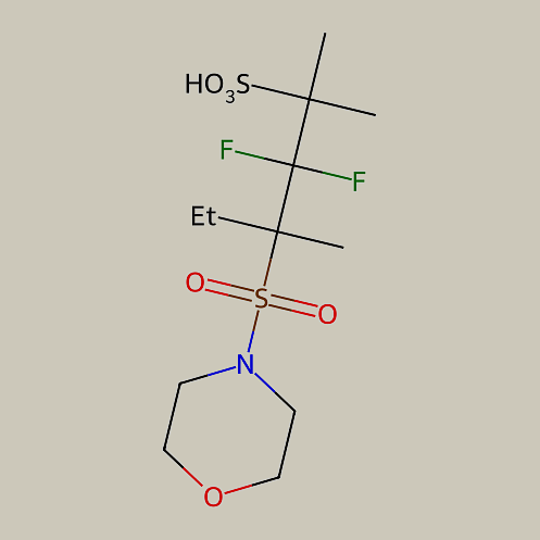 CCC(C)(C(F)(F)C(C)(C)S(=O)(=O)O)S(=O)(=O)N1CCOCC1